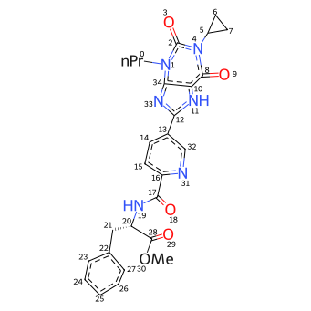 CCCn1c(=O)n(C2CC2)c(=O)c2[nH]c(-c3ccc(C(=O)N[C@@H](Cc4ccccc4)C(=O)OC)nc3)nc21